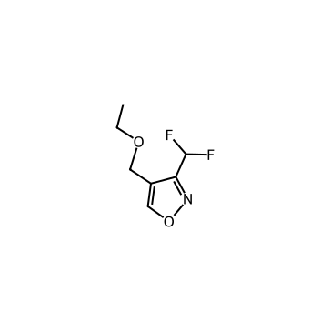 CCOCc1conc1C(F)F